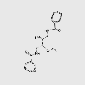 CCO[C@H](CNC(=O)c1cccnc1)[C@@H](O)CNC(=O)c1ccccc1